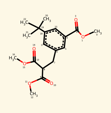 COC(=O)c1cc(CC(C(=O)OC)C(=O)OC)cc(C(C)(C)C)c1